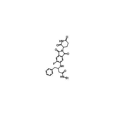 CCNC(=O)CC(Cc1ccccc1)Nc1cc2c(cc1F)C(=O)N(C1CCC(=O)NC1=O)C2=O